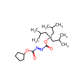 CC(C)C[Si](CC(C)C)(CC(C)C)OC(=O)N=NC(=O)OC1CCCC1